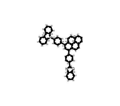 c1cc2ccc3c(-c4ccc(-c5nc6ccccc6o5)cc4)cc(-c4ccc(-n5c6ccccc6c6ccccc65)cc4)c4ccc(c1)c2c34